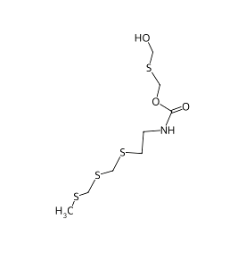 CSCSCSCCNC(=O)OCSCO